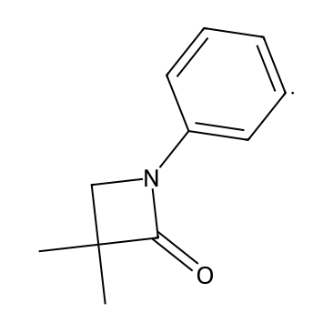 CC1(C)CN(c2c[c]ccc2)C1=O